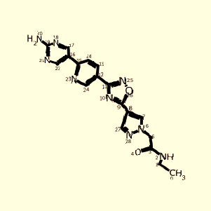 CCNC(=O)Cn1cc(-c2nc(-c3ccc(-c4cnc(N)nc4)nc3)no2)cn1